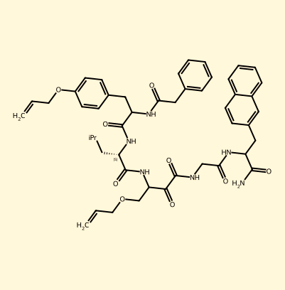 C=CCOCC(NC(=O)[C@H](CC(C)C)NC(=O)C(Cc1ccc(OCC=C)cc1)NC(=O)Cc1ccccc1)C(=O)C(=O)NCC(=O)NC(Cc1ccc2ccccc2c1)C(N)=O